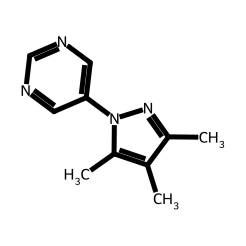 Cc1nn(-c2cncnc2)c(C)c1C